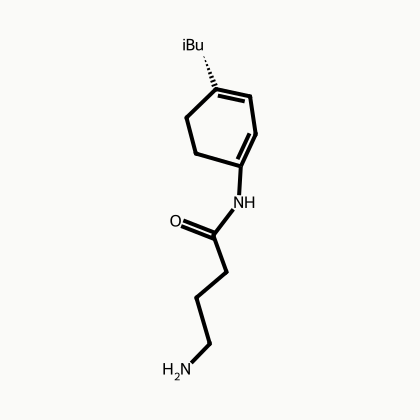 CC[C@@H](C)C1=CC=C(NC(=O)CCCN)CC1